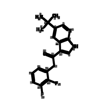 CC(C)(N)c1cnc2[nH]cc(C(=O)Cc3cccc(F)c3F)c2c1